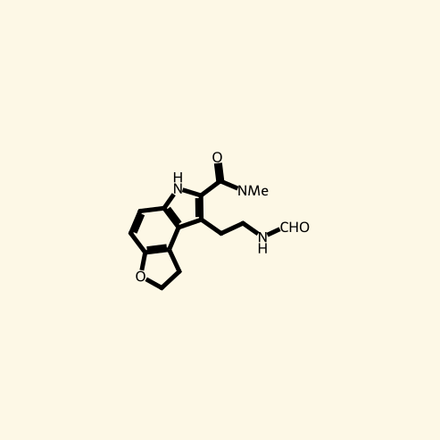 CNC(=O)c1[nH]c2ccc3c(c2c1CCNC=O)CCO3